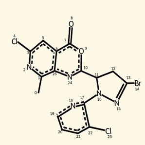 Cc1nc(Cl)cc2c(=O)oc(C3CC(Br)=NN3c3ncccc3Cl)nc12